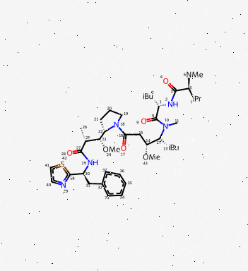 CC[C@@H](C)[C@H](NC(=O)[C@@H](NC)C(C)C)C(=O)N(C)C([C@@H](C)CC)[C@@H](CC(=O)N1CCC[C@H]1[C@H](OC)[C@@H](C)C(=O)N[C@@H](Cc1ccccc1)c1nccs1)OC